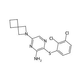 Nc1nc(N2CC3(CCC3)C2)cnc1Sc1cccc(Cl)c1Cl